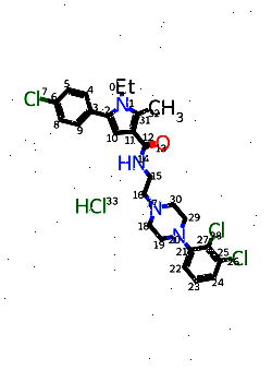 CCn1c(-c2ccc(Cl)cc2)cc(C(=O)NCCN2CCN(c3cccc(Cl)c3Cl)CC2)c1C.Cl